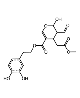 COC(=O)CC1C(C(=O)OCCc2ccc(O)c(O)c2)=COC(O)C1C=O